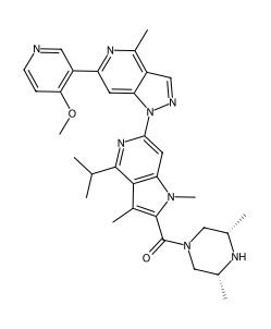 COc1ccncc1-c1cc2c(cnn2-c2cc3c(c(C(C)C)n2)c(C)c(C(=O)N2C[C@@H](C)N[C@@H](C)C2)n3C)c(C)n1